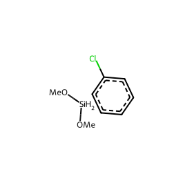 CO[SiH2]OC.Clc1ccccc1